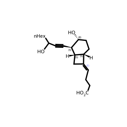 CCCCCCC(O)C#C[C@@H]1[C@H]2C/C(=C\CCC(=O)O)[C@H]2CC[C@H]1O